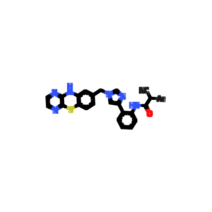 CC(=O)C(C#N)C(=O)Nc1ccccc1-c1cn(Cc2ccc3c(c2)Nc2nccnc2S3)cn1